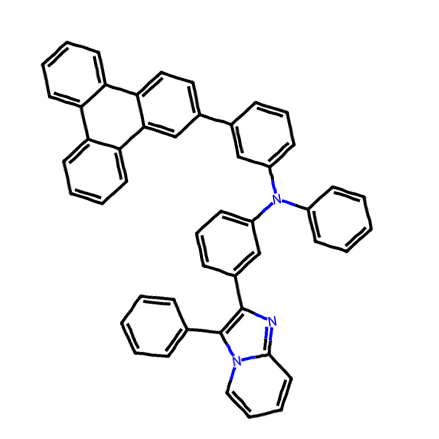 c1ccc(-c2c(-c3cccc(N(c4ccccc4)c4cccc(-c5ccc6c7ccccc7c7ccccc7c6c5)c4)c3)nc3ccccn23)cc1